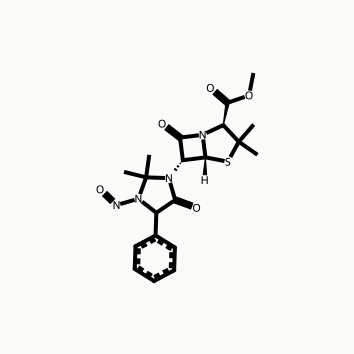 COC(=O)[C@@H]1N2C(=O)[C@@H](N3C(=O)C(c4ccccc4)N(N=O)C3(C)C)[C@H]2SC1(C)C